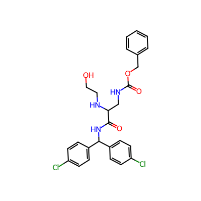 O=C(NCC(NCCO)C(=O)NC(c1ccc(Cl)cc1)c1ccc(Cl)cc1)OCc1ccccc1